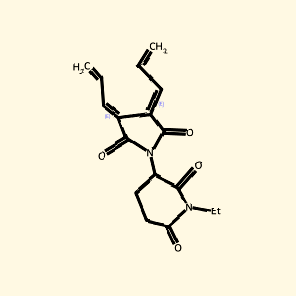 C=C/C=C1/C(=O)N(C2CCC(=O)N(CC)C2=O)C(=O)/C1=C/C=C